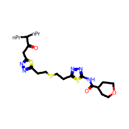 CCCC(CCC)C(=O)Cc1nnc(CCSCCc2nnc(NC(=O)C3CCOCC3)s2)s1